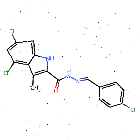 Cc1c(C(=O)NN=Cc2ccc(Cl)cc2)[nH]c2cc(Cl)cc(Cl)c12